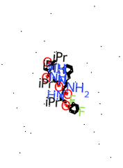 CC(C)CC(=O)NC(CC(C)C)C(=O)NC(C(=O)N[C@@H](Cc1ccccc1)[C@@H](N)CC(=O)N[C@H](COc1ccc(F)cc1F)C(C)C)C(C)C